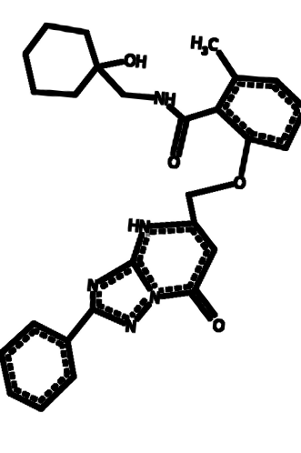 Cc1cccc(OCc2cc(=O)n3nc(-c4ccccc4)nc3[nH]2)c1C(=O)NCC1(O)CCCCC1